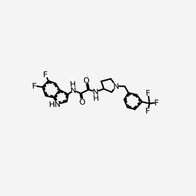 O=C(Nc1c[nH]c2cc(F)c(F)cc12)C(=O)NC1CCN(Cc2cccc(C(F)(F)F)c2)C1